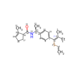 C=CS/C(=C(/C)CC)c1ccc([C@H](C)NC(=O)C2CCC=C2C)cc1